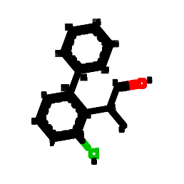 CC(C=O)c1c(Cl)cccc1-c1ccccc1